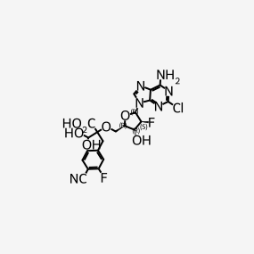 N#Cc1ccc(CC(OC[C@H]2O[C@@H](n3cnc4c(N)nc(Cl)nc43)[C@@H](F)[C@@H]2O)(C(=O)O)C(O)O)cc1F